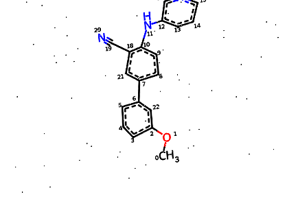 COc1cccc(-c2ccc(Nc3cccnc3)c(C#N)c2)c1